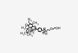 Cc1c(/N=N/c2ccc(S(=O)(=O)NCCOCCO)cc2)c(O)n(C(C)(C)CC(C)(C)C)c(=O)c1C